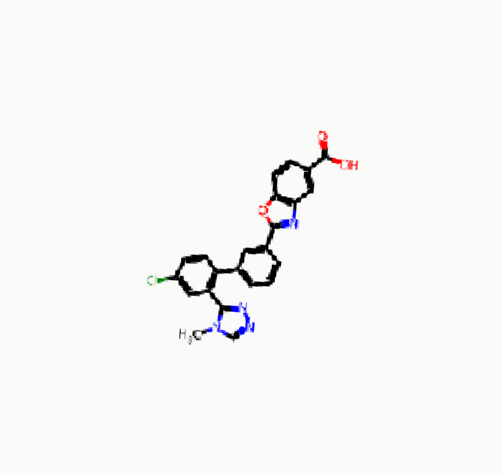 Cn1cnnc1-c1cc(Cl)ccc1-c1cccc(-c2nc3cc(C(=O)O)ccc3o2)c1